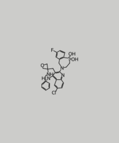 Nc1c(CC2(NCc3ccccc3)COC2)c(N2CCS(O)(O)c3ccc(F)cc3C2)nc2ccc(Cl)cc12